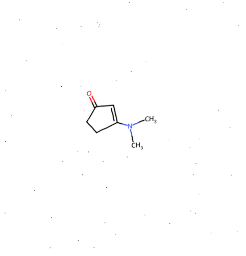 CN(C)C1=CC(=O)CC1